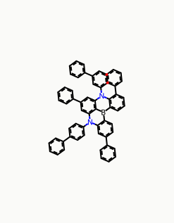 c1ccc(-c2ccc(N3c4cc(-c5ccccc5)ccc4B4c5cccc(-c6ccccc6)c5N(c5cccc(-c6ccccc6)c5)c5cc(-c6ccccc6)cc3c54)cc2)cc1